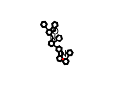 C1=CCC2C(=C1)N(c1ccc(-c3ccccc3)c3c1oc1ccccc13)c1cccc(-c3ccc4c(c3)c3ccccc3n4-c3ccccc3-c3ccccc3)c12